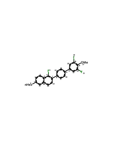 CCCCCCc1ccc2c(F)c(-c3ccc(-c4cc(F)c(OC)c(F)c4)cc3)ccc2c1